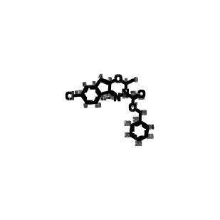 CC1OC2=Cc3cc(Cl)ccc3C2=NN1C(=O)OCc1ccccc1